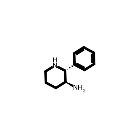 N[C@H]1CCCN[C@@H]1c1ccccc1